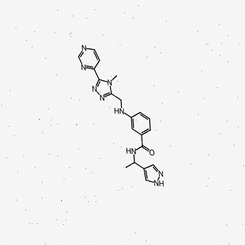 CC(NC(=O)c1cccc(NCc2nnc(-c3ccncn3)n2C)c1)c1cn[nH]c1